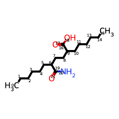 CCCCCCC(CCC(CCCCCC)C(=O)O)C(N)=O